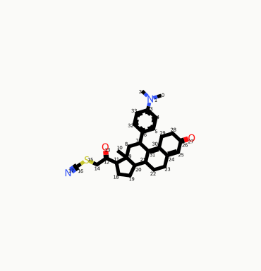 CN(C)c1ccc(C2CC3(C)C(C(=O)CSC#N)CCC3C3CCC4=CC(=O)CCC4=C23)cc1